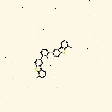 Cc1c(-c2ccc3sc4c(C)cccc4c3c2)cccc1-c1ccc2sc3c(C)cccc3c2c1